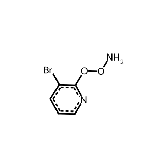 NOOc1ncccc1Br